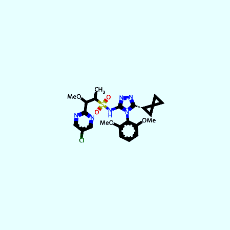 COc1cccc(OC)c1-n1c(NS(=O)(=O)C(C)C(OC)c2ncc(Cl)cn2)nnc1[C@H]1CC12CC2